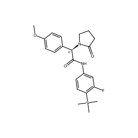 COc1ccc([C@H](C(=O)Nc2ccc([Si](C)(C)C)c(F)c2)N2CCCC2=O)cc1